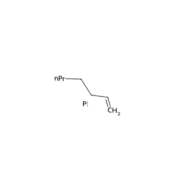 C=CCCCCC.[P]